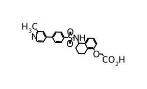 Cc1cc(-c2ccc(S(=O)(=O)NC3CCCc4c(OCC(=O)O)cccc43)cc2)ccn1